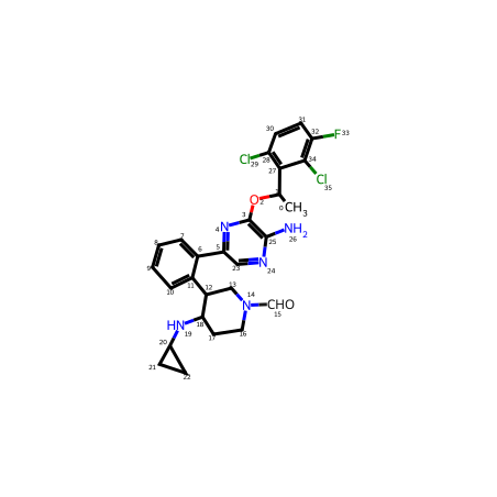 CC(Oc1nc(-c2ccccc2C2CN(C=O)CCC2NC2CC2)cnc1N)c1c(Cl)ccc(F)c1Cl